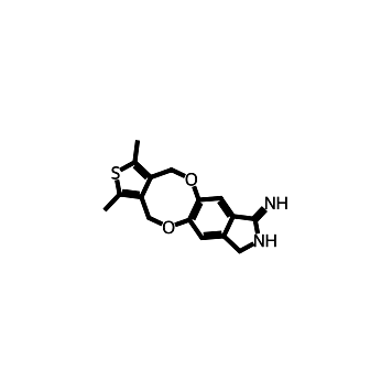 Cc1sc(C)c2c1COc1cc3c(cc1OC2)C(=N)NC3